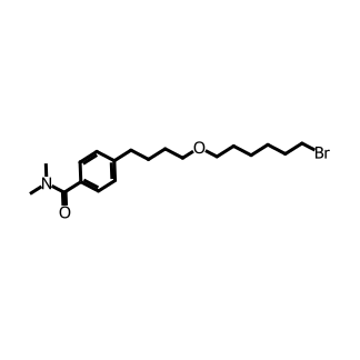 CN(C)C(=O)c1ccc(CCCCOCCCCCCBr)cc1